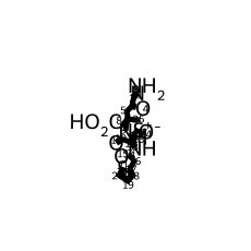 NN=CC(=O)CC1=C(C(=O)O)N2C(=O)C(NC(=O)Cc3cccs3)[C@@H]2[S+]([O-])C1